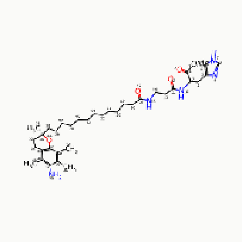 COC(=O)C(Cc1c[nH]cn1)NC(=O)CCNC(=O)CCCCCCCCCCCC[C@]1(C)CCc2c(C)c(N)c(C)c(C)c2O1